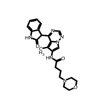 Cc1c(NC(=O)CCCN2CCOCC2)cn2ncnc(C3C(=O)Nc4ccccc43)c12